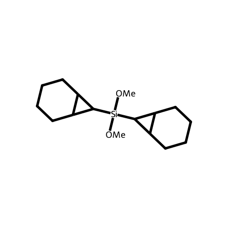 CO[Si](OC)(C1C2CCCCC21)C1C2CCCCC21